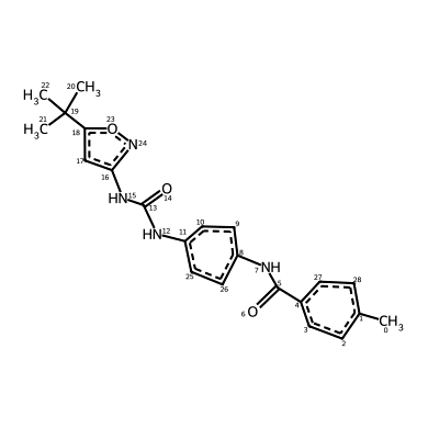 Cc1ccc(C(=O)Nc2ccc(NC(=O)Nc3cc(C(C)(C)C)on3)cc2)cc1